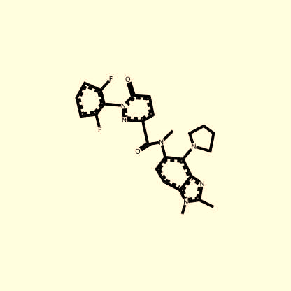 Cc1nc2c(N3CCCC3)c(N(C)C(=O)c3ccc(=O)n(-c4c(F)cccc4F)n3)ccc2n1C